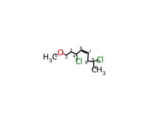 COCCC(Cl)/C=C\CC(C)Cl